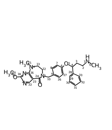 CNCCC(Oc1ccc(CN2CCN(C)c3nc(OC)ncc3C2=O)cc1)c1ccccc1